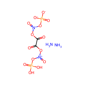 N.N.O=C(O[N+](=O)OP(=O)([O-])[O-])C(=O)O[N+](=O)OP(=O)(O)O